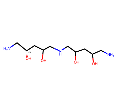 NCC(O)CC(O)CNCC(O)C[C@H](O)CN